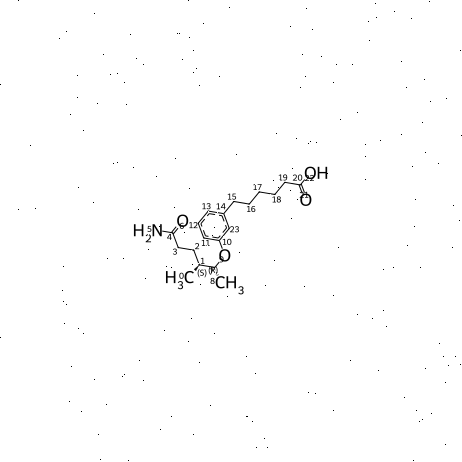 C[C@@H](CCC(N)=O)[C@@H](C)Oc1cccc(CCCCCC(=O)O)c1